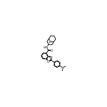 CN(C)c1ccc(-c2nc3c(C(=O)NC4CC5CCCC(C4)N5C)cccc3o2)cc1